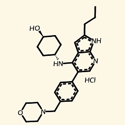 CCCc1cc2c(N[C@H]3CC[C@H](O)CC3)c(-c3ccc(CN4CCOCC4)cc3)cnc2[nH]1.Cl